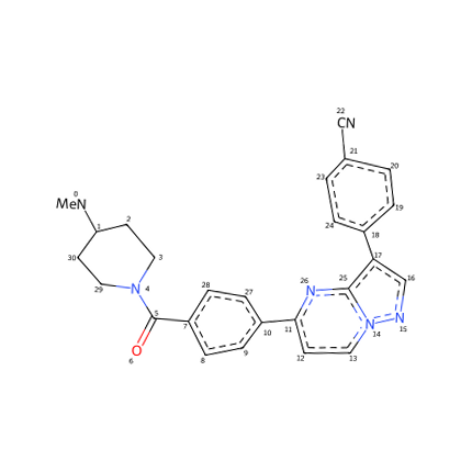 CNC1CCN(C(=O)c2ccc(-c3ccn4ncc(-c5ccc(C#N)cc5)c4n3)cc2)CC1